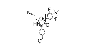 COCc1ccc([C@@H](NC(=O)CCC#N)C(=O)Nc2cc(F)c(S(C)(C)C)c(F)c2)cc1